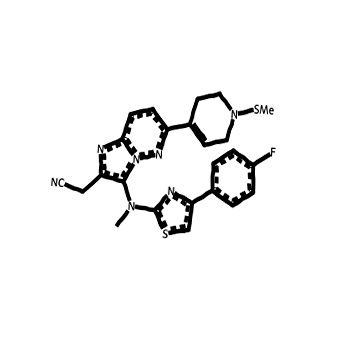 CSN1CC=C(c2ccc3nc(CC#N)c(N(C)c4nc(-c5ccc(F)cc5)cs4)n3n2)CC1